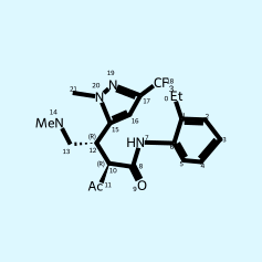 CCc1ccccc1NC(=O)[C@@H](C(C)=O)[C@H](CNC)c1cc(C(F)(F)F)nn1C